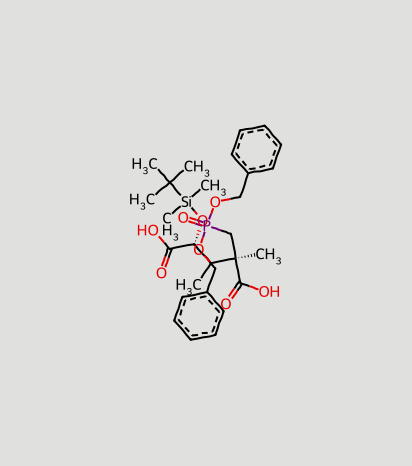 CC([C@@H](O[Si](C)(C)C(C)(C)C)C(=O)O)[C@@](C)(CP(=O)(OCc1ccccc1)OCc1ccccc1)C(=O)O